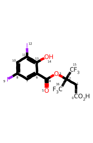 O=C(O)CC(OC(=O)c1cc(I)cc(I)c1O)(C(F)(F)F)C(F)(F)F